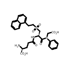 N[C@@H](CCC(=O)N[C@@H](CS(=O)(=O)CCc1cccc2ccccc12)C(=O)N(CC(=O)O)c1ccccc1)C(=O)O